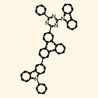 c1ccc(-c2nc(-c3ccc4c5ccc(-c6ccc7c(c6)c6ccccc6n7-c6ccccc6)cc5c5ccccc5c4c3)nc(-n3c4ccccc4c4ccccc43)n2)cc1